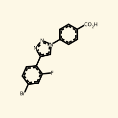 O=C(O)c1ccc(-n2cc(-c3ccc(Br)cc3F)nn2)cc1